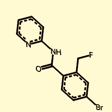 O=C(Nc1ccccn1)c1ccc(Br)cc1CF